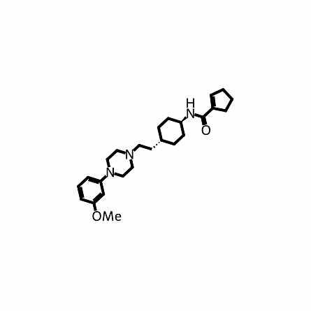 COc1cccc(N2CCN(CC[C@H]3CC[C@H](NC(=O)C4=CCCC4)CC3)CC2)c1